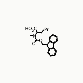 CC(C)CC(C(=O)O)N(C)C(=O)OCC1c2ccccc2-c2ccccc21